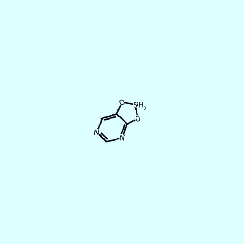 c1ncc2c(n1)O[SiH2]O2